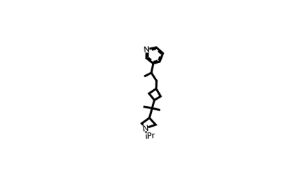 CC(CC1CC(C(C)(C)C2CN(C(C)C)C2)C1)c1cccnc1